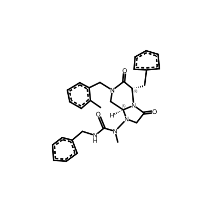 Cc1ccccc1CN1C[C@H]2N(C(=O)CN2N(C)C(=O)NCc2ccccc2)[C@@H](Cc2ccccc2)C1=O